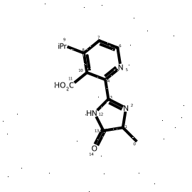 CC1N=C(c2nccc(C(C)C)c2C(=O)O)NC1=O